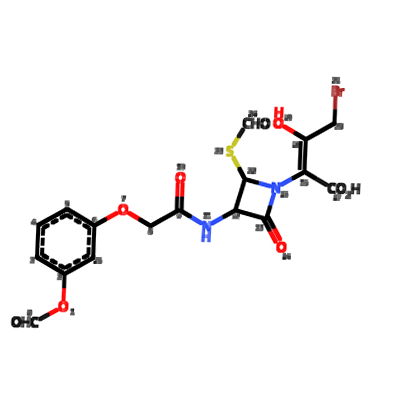 O=COc1cccc(OCC(=O)NC2C(=O)N(C(C(=O)O)=C(O)CBr)C2SC=O)c1